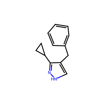 c1ccc(Cc2c[nH]nc2C2CC2)cc1